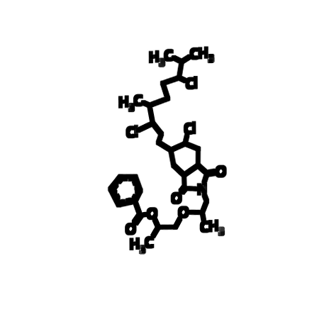 CC(CN1C(=O)C2CC(Cl)C(CCC(Cl)C(C)CCC(Cl)C(C)C)CC2C1=O)OCC(C)OC(=O)c1ccccc1